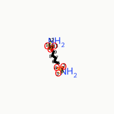 NS(=O)(=O)OCCCCCOS(N)(=O)=O